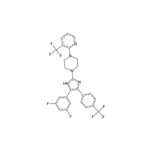 Fc1cc(F)cc(-c2[nH]c(N3CCN(c4ncccc4C(F)(F)F)CC3)nc2-c2ccc(C(F)(F)F)cc2)c1